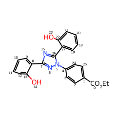 CCOC(=O)c1ccc(-n2nc(-c3ccccc3O)nc2-c2ccccc2O)cc1